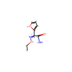 CCO/N=C(\C([NH])=O)c1ccco1